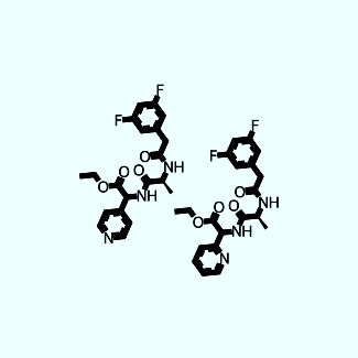 CCOC(=O)C(NC(=O)[C@H](C)NC(=O)Cc1cc(F)cc(F)c1)c1ccccn1.CCOC(=O)C(NC(=O)[C@H](C)NC(=O)Cc1cc(F)cc(F)c1)c1ccncc1